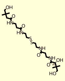 CC(C)(CO)CC(=O)NCCC(=O)NCCSSCCNC(=O)CCNC(=O)[C@H](O)C(C)(C)CO